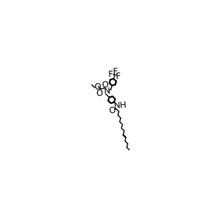 CCCCC=CCCCCCCCC(=O)Nc1ccc(CN(Cc2ccc(C(F)(F)F)cc2)C(=O)C(=O)OCC)cc1